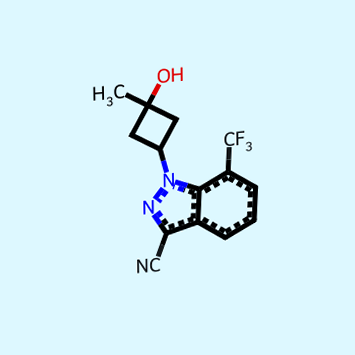 CC1(O)CC(n2nc(C#N)c3cccc(C(F)(F)F)c32)C1